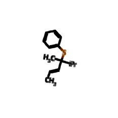 CC=CC(C)(Sc1ccccc1)C(C)C